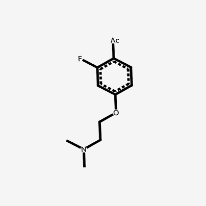 CC(=O)c1ccc(OCCN(C)C)cc1F